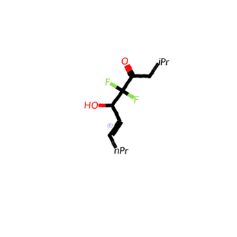 CCC/C=C/C(O)C(F)(F)C(=O)CC(C)C